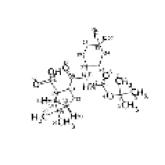 CC(C)(C)OC(=O)N[C@H](C(=O)C1C[C@H]2[C@@H](C1C(=O)O)C2(C)C)C1CCC(F)(F)CC1